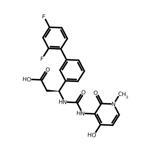 Cn1ccc(O)c(NC(=O)N[C@@H](CC(=O)O)c2cccc(-c3ccc(F)cc3F)c2)c1=O